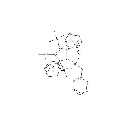 C[Si](C)(C)C1=C([Si](C)(C)C)C([Si](C)(C)C)([Si](C)(C)C)[C]([Zr]([CH2]c2ccccc2)([CH2]c2ccccc2)[CH2]c2ccccc2)=C1[Si](C)(C)C